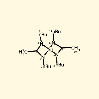 CCCCN1C(C)N(CCCC)[Si]12N(CCCC)C(C)N2CCCC